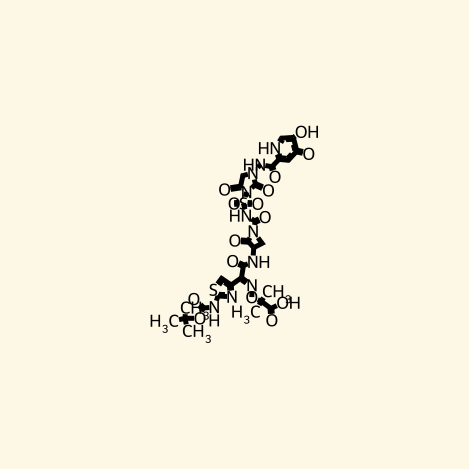 CC(C)(C)OC(=O)Nc1nc(C(=NOC(C)(C)C(=O)O)C(=O)NC2CN(C(=O)NS(=O)(=O)N3C(=O)CN(NC(=O)c4cc(=O)c(O)c[nH]4)C3=O)C2=O)cs1